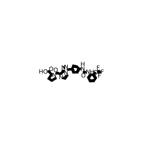 O=C(Nc1ccc(-c2nnc3c(C(=O)N4CCCC4C(=O)O)nccn23)cc1)Nc1ccccc1OC(F)(F)F